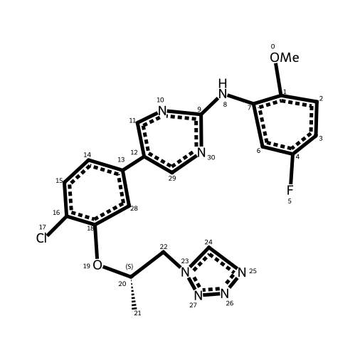 COc1ccc(F)cc1Nc1ncc(-c2ccc(Cl)c(O[C@@H](C)Cn3cnnn3)c2)cn1